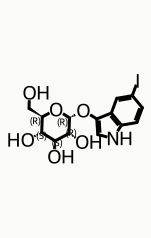 OC[C@H]1O[C@H](Oc2c[nH]c3ccc(I)cc23)[C@H](O)[C@@H](O)[C@@H]1O